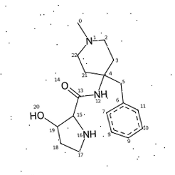 CN1CCC(Cc2ccccc2)(NC(=O)C2NCCC2O)CC1